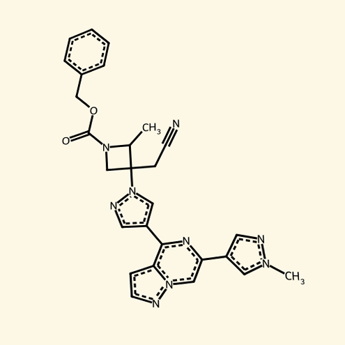 CC1N(C(=O)OCc2ccccc2)CC1(CC#N)n1cc(-c2nc(-c3cnn(C)c3)cn3nccc23)cn1